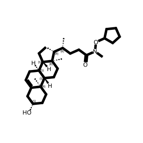 C[C@H](CCC(=O)N(C)OC1CCCC1)[C@H]1CC[C@H]2[C@@H]3CC=C4C[C@@H](O)CC[C@]4(C)[C@H]3CC[C@]12C